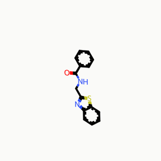 O=C(NCc1nc2ccccc2s1)c1ccccc1